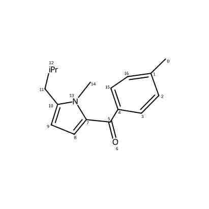 Cc1ccc(C(=O)c2ccc(CC(C)C)n2C)cc1